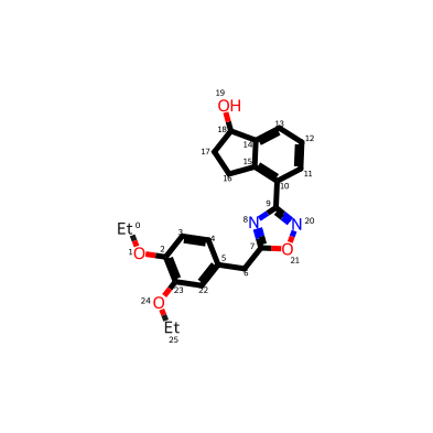 CCOc1ccc(Cc2nc(-c3cccc4c3CCC4O)no2)cc1OCC